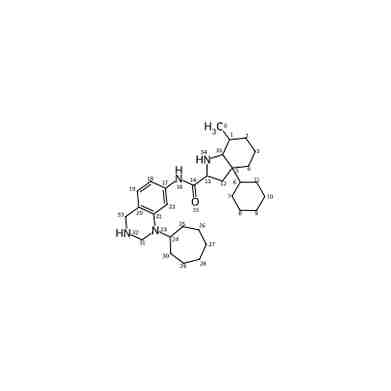 CC1CCCC2(C3CCCCC3)CC(C(=O)Nc3ccc4c(c3)N(C3CCCCCC3)CNC4)NC12